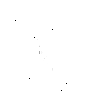 CC(C)(CC(O)(Cc1cc(Cl)nc2ccccc12)C(F)(F)F)c1cc(F)ccc1O